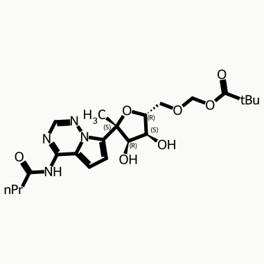 CCCC(=O)Nc1ncnn2c([C@]3(C)O[C@H](COCOC(=O)C(C)(C)C)[C@@H](O)[C@H]3O)ccc12